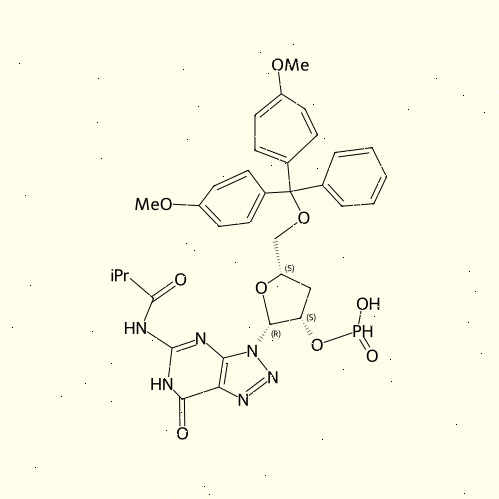 COc1ccc(C(OC[C@@H]2C[C@H](O[PH](=O)O)[C@H](n3nnc4c(=O)[nH]c(NC(=O)C(C)C)nc43)O2)(c2ccccc2)c2ccc(OC)cc2)cc1